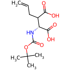 C=CCC(C(=O)O)[C@@H](NC(=O)OC(C)(C)C)C(=O)O